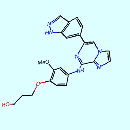 COc1cc(Nc2nc(-c3ccc4cn[nH]c4c3)cn3ccnc23)ccc1OCCCO